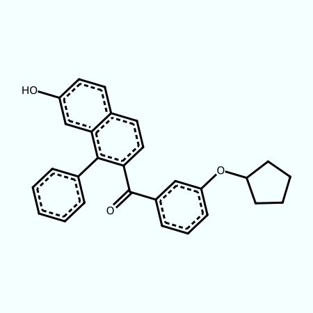 O=C(c1cccc(OC2CCCC2)c1)c1ccc2ccc(O)cc2c1-c1ccccc1